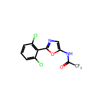 O=C(Nc1cnc(-c2c(Cl)cccc2Cl)o1)C(F)(F)F